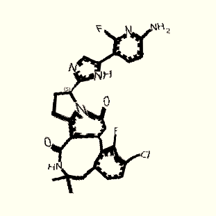 CC1(C)Cc2ccc(Cl)c(F)c2-c2cc(=O)n3c(c2C(=O)N1)CC[C@H]3c1ncc(-c2ccc(N)nc2F)[nH]1